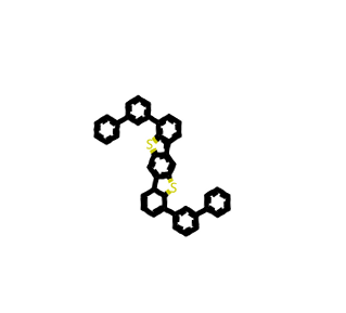 C1=CC2c3cc4sc5c(-c6cccc(-c7ccccc7)c6)cccc5c4cc3SC2C(c2cccc(-c3ccccc3)c2)=C1